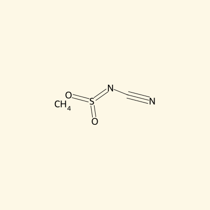 C.N#CN=S(=O)=O